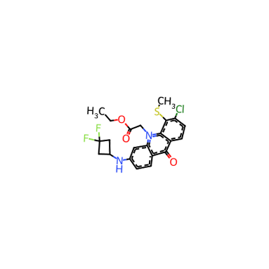 CCOC(=O)Cn1c2cc(NC3CC(F)(F)C3)ccc2c(=O)c2ccc(Cl)c(SC)c21